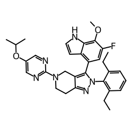 CCc1cccc(CC)c1-n1nc2c(c1-c1cc(F)c(OC)c3[nH]ccc13)CN(c1ncc(OC(C)C)cn1)CC2